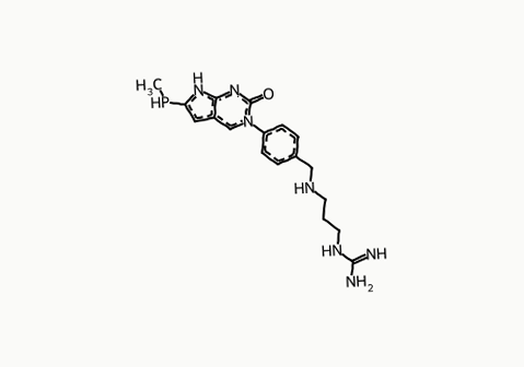 CPc1cc2cn(-c3ccc(CNCCCNC(=N)N)cc3)c(=O)nc2[nH]1